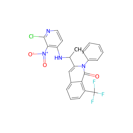 CC(Nc1ccnc(Cl)c1[N+](=O)[O-])c1cc2cccc(C(F)(F)F)c2c(=O)n1-c1ccccc1